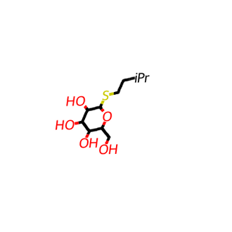 CC(C)CCSC1OC(CO)C(O)C(O)C1O